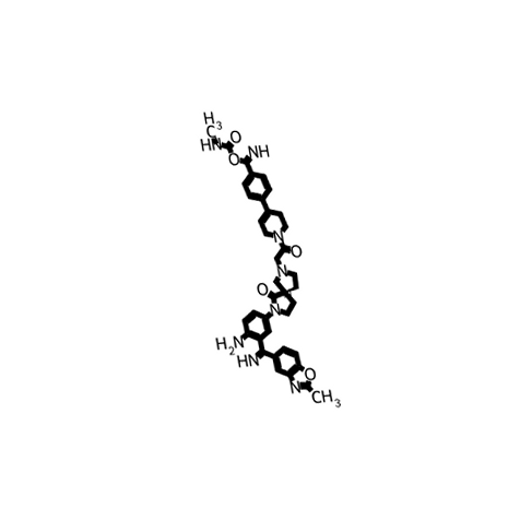 CNC(=O)OC(=N)c1ccc(C2=CCN(C(=O)CN3CC[C@]4(CCN(c5ccc(N)c(C(=N)c6ccc7oc(C)nc7c6)c5)C4=O)C3)CC2)cc1